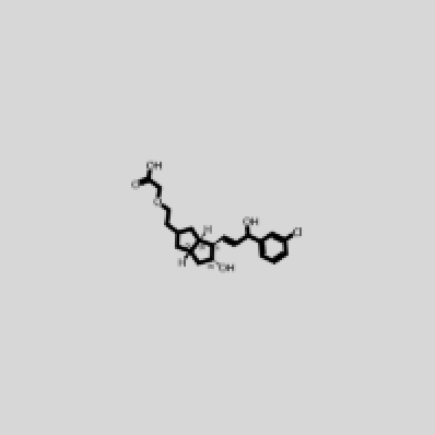 O=C(O)COCCC1C[C@H]2C[C@@H](O)[C@H](C=CC(O)c3cccc(Cl)c3)[C@@H]2C1